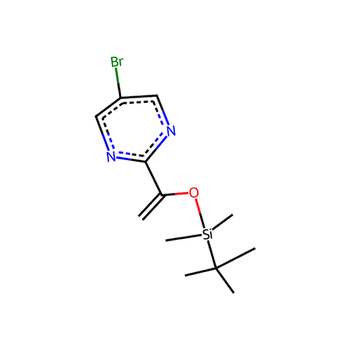 C=C(O[Si](C)(C)C(C)(C)C)c1ncc(Br)cn1